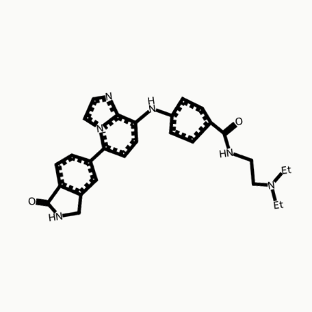 CCN(CC)CCNC(=O)c1ccc(Nc2ccc(-c3ccc4c(c3)CNC4=O)n3ccnc23)cc1